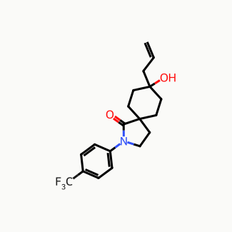 C=CCC1(O)CCC2(CCN(c3ccc(C(F)(F)F)cc3)C2=O)CC1